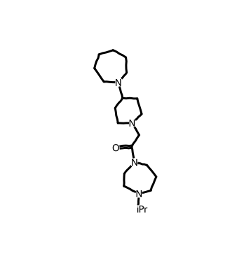 CC(C)N1CCCN(C(=O)CN2CCC(N3CCCCCC3)CC2)CC1